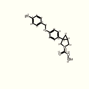 CC(C)c1ccc(CSc2ccc(C34CC3CN(C(=O)OC(C)(C)C)C4)cc2)cc1